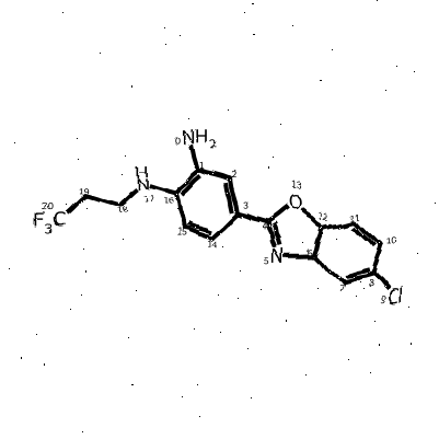 Nc1cc(C2=NC3C=C(Cl)C=CC3O2)ccc1NCCC(F)(F)F